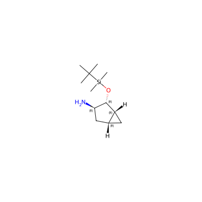 CC(C)(C)[Si](C)(C)O[C@@H]1[C@@H]2C[C@@H]2C[C@H]1N